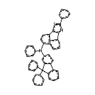 c1ccc(-c2nc3c(s2)-c2ccc(N(c4ccccc4)c4ccc5c(c4)C(c4ccccc4)(c4ccccc4)c4ccccc4-5)c4cccc-3c24)cc1